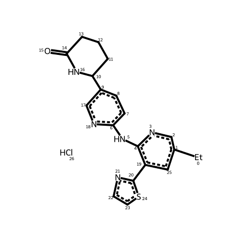 CCc1cnc(Nc2ccc(C3CCCC(=O)N3)cn2)c(-c2nccs2)c1.Cl